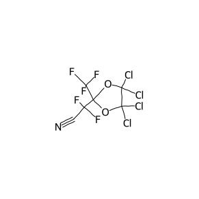 N#CC(F)(F)C1(C(F)(F)F)OC(Cl)(Cl)C(Cl)(Cl)O1